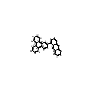 [c]1c(-c2cccc3cc4ccccc4cc23)ccc2c1c1ccccc1c1ccccc21